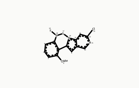 COc1cccc2c1-c1cc3cnc(Cl)cc3n1SB2F